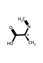 C=N[C@@H](C)C(=O)O